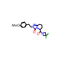 COc1ccc(CCn2nc3n(c2=O)C(C(=O)N2CC(F)(F)C2)CCC3)cc1